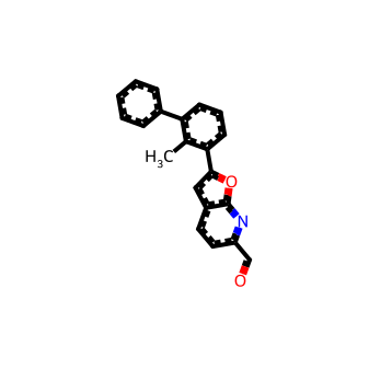 Cc1c(-c2ccccc2)cccc1-c1cc2ccc(C=O)nc2o1